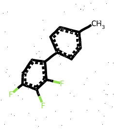 Cc1ccc(-c2ccc(F)c(F)c2F)cc1